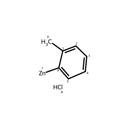 Cc1cccc[c]1[Zn].Cl